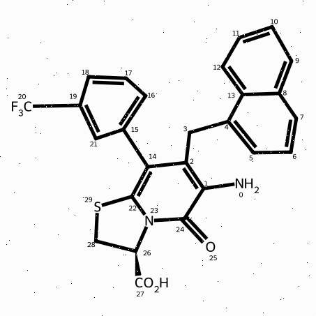 Nc1c(Cc2cccc3ccccc23)c(-c2cccc(C(F)(F)F)c2)c2n(c1=O)[C@@H](C(=O)O)CS2